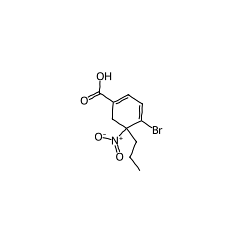 CCCC1([N+](=O)[O-])CC(C(=O)O)=CC=C1Br